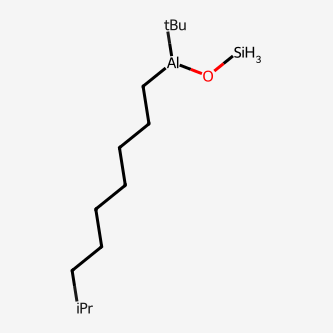 CC(C)CCCCCC[CH2][Al]([O][SiH3])[C](C)(C)C